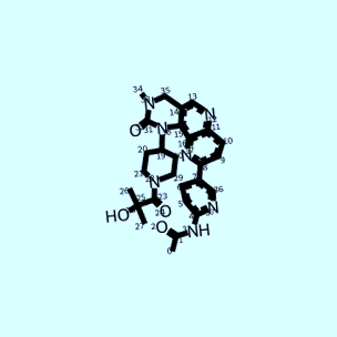 CC(=O)Nc1ccc(-c2ccc3ncc4c(c3n2)N(C2CCN(C(=O)C(C)(C)O)CC2)C(=O)N(C)C4)cn1